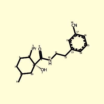 CC1CCC(C(C)C)[C@@](O)(C(=O)NCCc2cccc(C#N)c2)C1